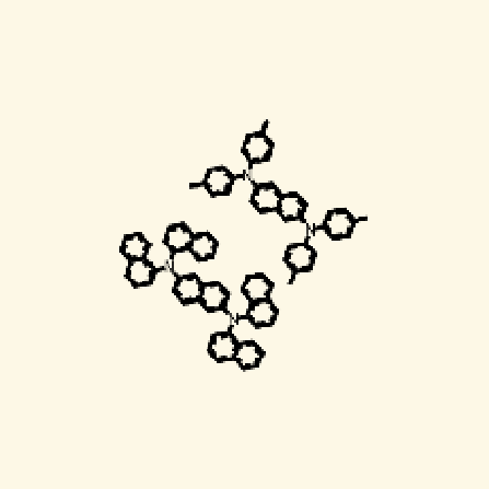 Cc1ccc(N(c2ccc(C)cc2)c2ccc3cc(N(c4ccc(C)cc4)c4ccc(C)cc4)ccc3c2)cc1.c1ccc2c(N(c3ccc4cc(N(c5cccc6ccccc56)c5cccc6ccccc56)ccc4c3)c3cccc4ccccc34)cccc2c1